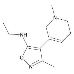 CCNc1onc(C)c1C1=CCCN(C)C1